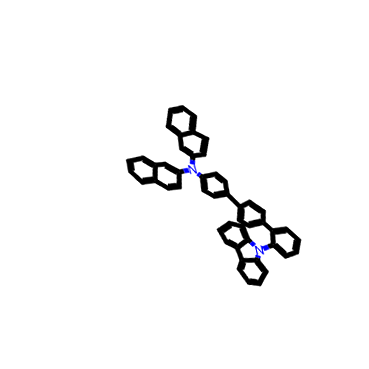 c1ccc(-n2c3ccccc3c3ccccc32)c(-c2ccc(-c3ccc(N(c4ccc5ccccc5c4)c4ccc5ccccc5c4)cc3)cc2)c1